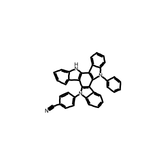 N#Cc1ccc(-n2c3ccccc3c3c4c(c5ccccc5n4-c4ccccc4)c4[nH]c5ccccc5c4c32)cc1